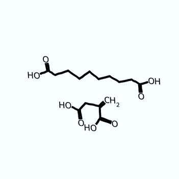 C=C(CC(=O)O)C(=O)O.O=C(O)CCCCCCCCC(=O)O